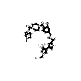 CCc1cc(CNC(=O)c2ncc(-c3cn(CC#N)nc3C(F)(F)F)[nH]2)ccc1C(=O)N1CCN(C(=O)N2CC3CC2CN3)CC1